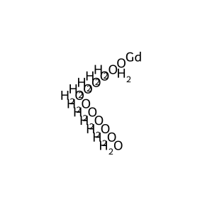 O.O.O.O.O.O.O.O.O.O.O.O.[Gd]